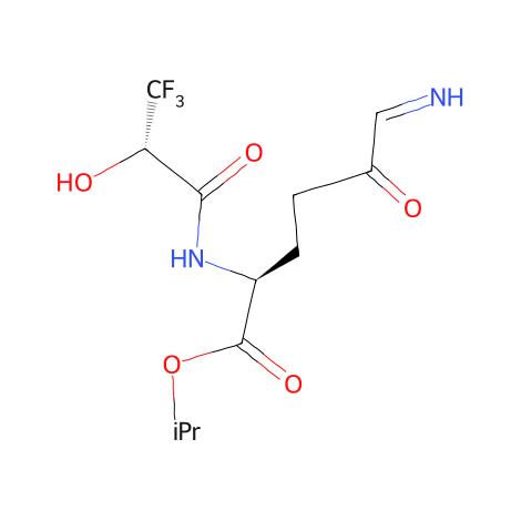 CC(C)OC(=O)[C@H](CCC(=O)C=N)NC(=O)[C@H](O)C(F)(F)F